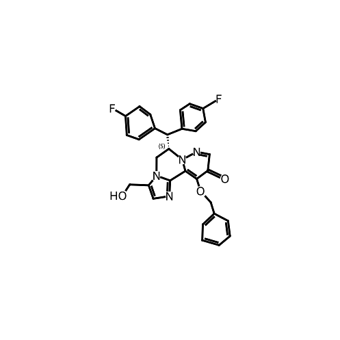 O=c1cnn2c(c1OCc1ccccc1)-c1ncc(CO)n1C[C@@H]2C(c1ccc(F)cc1)c1ccc(F)cc1